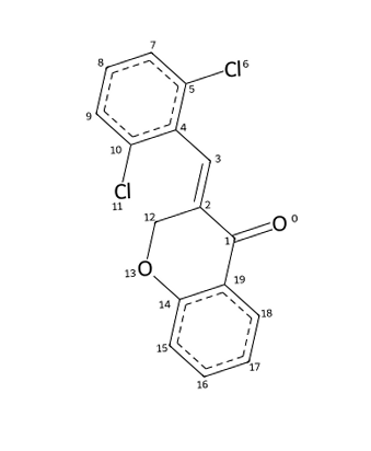 O=C1/C(=C/c2c(Cl)cccc2Cl)COc2ccccc21